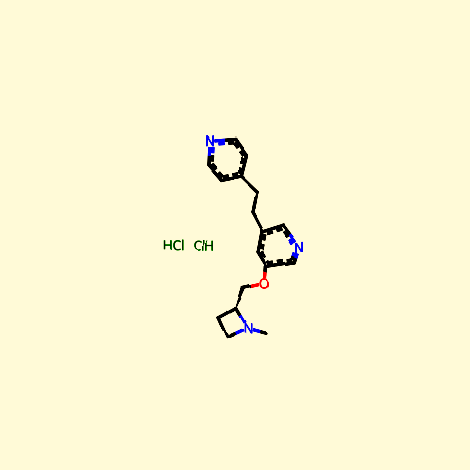 CN1CC[C@H]1COc1cncc(CCc2ccncc2)c1.Cl.Cl